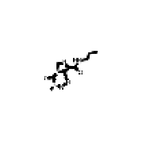 CCCNC(=O)c1ncn2c(=O)n(C)nnc12